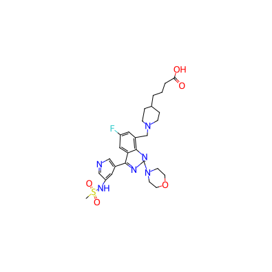 CS(=O)(=O)Nc1cncc(-c2nc(N3CCOCC3)nc3c(CN4CCC(CCCC(=O)O)CC4)cc(F)cc23)c1